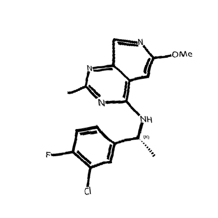 COc1cc2c(N[C@H](C)c3ccc(F)c(Cl)c3)nc(C)nc2cn1